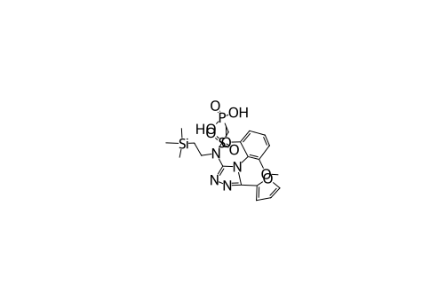 COc1cccc(OC)c1-n1c(-c2ccco2)nnc1N(CC[Si](C)(C)C)S(=O)(=O)CP(=O)(O)O